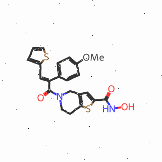 COc1ccc(C(=Cc2cccs2)C(=O)N2CCc3sc(C(=O)NO)cc3C2)cc1